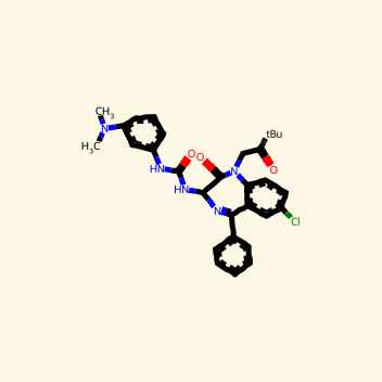 CN(C)c1cccc(NC(=O)NC2N=C(c3ccccc3)c3cc(Cl)ccc3N(CC(=O)C(C)(C)C)C2=O)c1